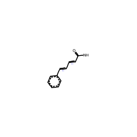 [NH]C(=O)/C=C/C=C/c1ccccc1